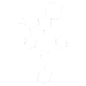 O=c1oc2c(c(O)c1C(c1cccc(N(CCc3ccccc3)S(=O)(=O)c3ccccc3)c1)C1CC1)CCCCCC2